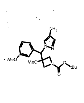 COc1cccc(C(n2cc(N)cn2)C2(OC)CN(C(=O)OC(C)(C)C)C2)c1